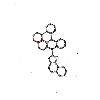 c1ccc(-c2ccccc2-c2c3ccccc3c(-c3cc4ccc5ccccc5c4o3)c3ccccc23)cc1